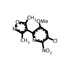 COc1cc(Cl)c([N+](=O)[O-])nc1-c1c(C)noc1C